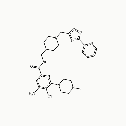 CN1CCN(c2nc(C(=O)NCC3CCN(Cc4cnc(-c5ccccn5)s4)CC3)cc(N)c2C#N)CC1